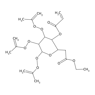 C=CC(=O)OC1C(CC(=O)OCC)OC(OOC(=C)C)C(OOC(=C)C)C1OOC(=C)C